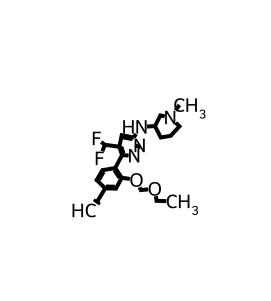 C#Cc1ccc(-c2nnc(NC3CCCN(C)C3)cc2C(F)F)c(OCOCC)c1